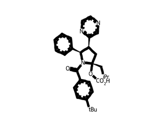 CC(C)C[C@]1(OC(=O)O)C[C@H](c2cnccn2)[C@H](c2ccccc2)N1C(=O)c1ccc(C(C)(C)C)cc1